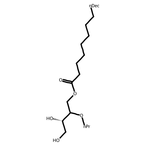 CCCCCCCCCCCCCCCCCC(=O)OCC(OCCC)[C@@H](O)CO